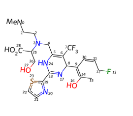 CNCCN(CC1=C(C(F)(F)F)C(C(/C=C\CF)=C(/C)O)N=C(c2nccs2)N1)C(CO)C(=O)O